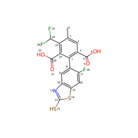 Cc1cc(C(=O)O)c(-c2cc3nc(S)sc3cc2F)c(C(=O)O)c1C(F)F